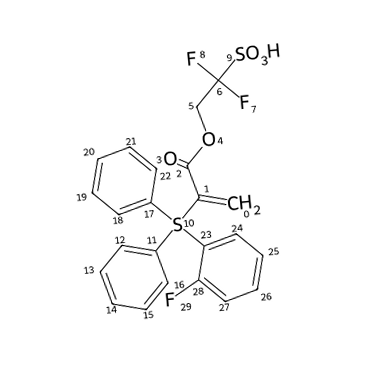 C=C(C(=O)OCC(F)(F)S(=O)(=O)O)S(c1ccccc1)(c1ccccc1)c1ccccc1F